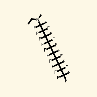 [CH2]CN(C)C(F)(F)C(F)(F)C(F)(F)C(F)(F)C(F)(F)C(F)(F)C(F)(F)C(F)(F)C(F)(F)C(F)(F)F